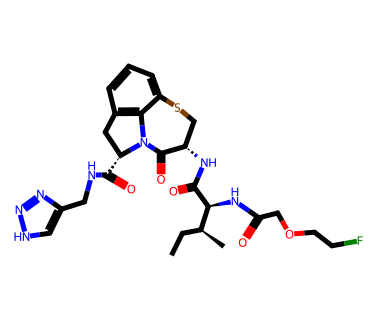 CC[C@H](C)[C@H](NC(=O)COCCF)C(=O)N[C@H]1CSc2cccc3c2N(C1=O)[C@H](C(=O)NCc1c[nH]nn1)C3